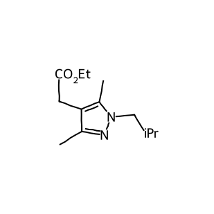 CCOC(=O)Cc1c(C)nn(CC(C)C)c1C